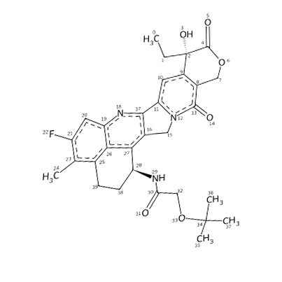 CC[C@@]1(O)C(=O)OCc2c1cc1n(c2=O)Cc2c-1nc1cc(F)c(C)c3c1c2[C@@H](NC(=O)COC(C)(C)C)CC3